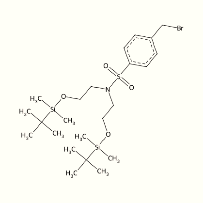 CC(C)(C)[Si](C)(C)OCCN(CCO[Si](C)(C)C(C)(C)C)S(=O)(=O)c1ccc(CBr)cc1